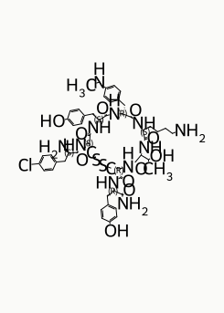 CNc1ccc(C[C@H]2NC(=O)[C@H](Cc3ccc(O)cc3)NC(=O)[C@H](NC(=O)[C@@H](N)Cc3ccc(Cl)cc3)CSSC[C@@H](C(=O)N[C@H](Cc3ccc(O)cc3)C(N)=O)NC(=O)C(C(C)O)NC(=O)[C@H](CCCCN)NC2=O)cc1